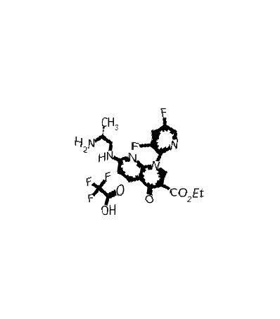 CCOC(=O)c1cn(-c2ncc(F)cc2F)c2nc(NC[C@@H](C)N)ccc2c1=O.O=C(O)C(F)(F)F